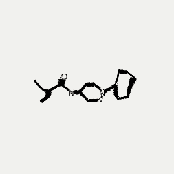 C=C(C)C(=O)/N=c1\ccn(-c2ccccc2)nc1